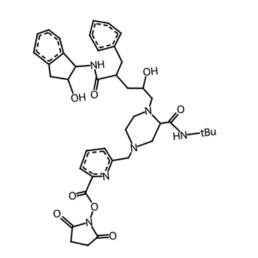 CC(C)(C)NC(=O)C1CN(Cc2cccc(C(=O)ON3C(=O)CCC3=O)n2)CCN1CC(O)CC(Cc1ccccc1)C(=O)NC1c2ccccc2CC1O